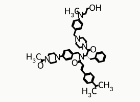 CC(=O)N1CCN(c2ccc(CN(C(=O)C=Cc3ccc(C(C)C)cc3)[C@@H](Cc3ccccc3)C(=O)N3CCN(Cc4ccc(N(C)CCO)cc4)CC3)cc2)CC1